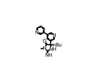 CCCCC1(c2cncc(-c3cccnc3)c2)NC(=N)N(C)C1=O